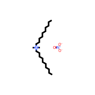 CCCCCCCCCC[N+](C)(C)CCCCCCCCCC.O=[N+]([O-])[O-]